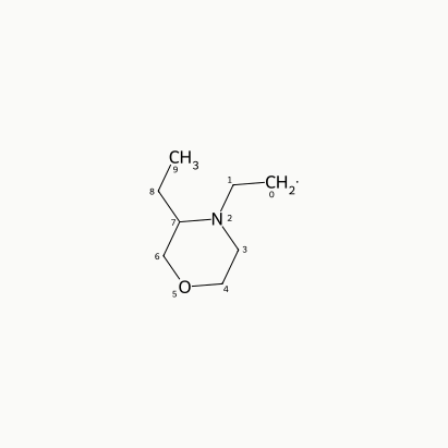 [CH2]CN1CCOCC1CC